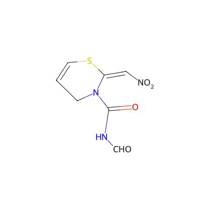 O=CNC(=O)N1CC=CSC1=C[N+](=O)[O-]